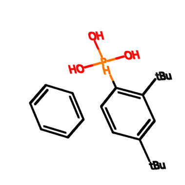 CC(C)(C)c1ccc([PH](O)(O)O)c(C(C)(C)C)c1.c1ccccc1